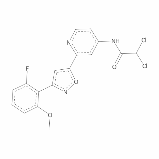 COc1cccc(F)c1-c1cc(-c2cc(NC(=O)C(Cl)Cl)ccn2)on1